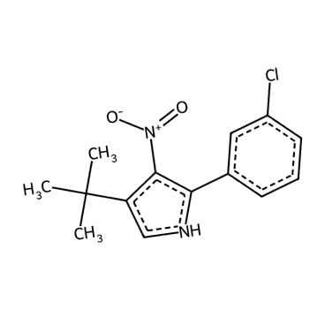 CC(C)(C)c1c[nH]c(-c2cccc(Cl)c2)c1[N+](=O)[O-]